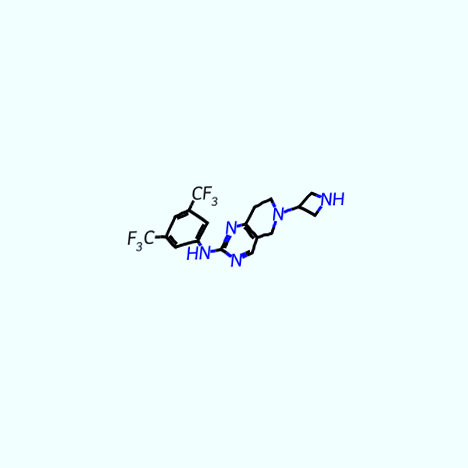 FC(F)(F)c1cc(Nc2ncc3c(n2)CCN(C2CNC2)C3)cc(C(F)(F)F)c1